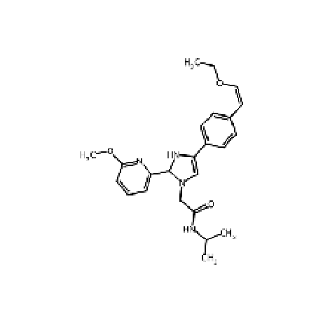 CCO/C=C\c1ccc(C2=CN(CC(=O)NC(C)C)C(c3cccc(OC)n3)N2)cc1